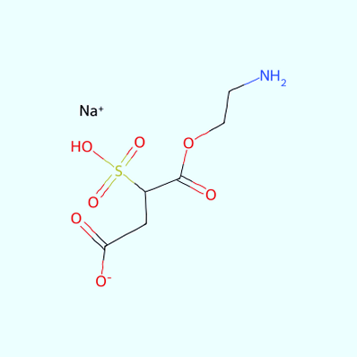 NCCOC(=O)C(CC(=O)[O-])S(=O)(=O)O.[Na+]